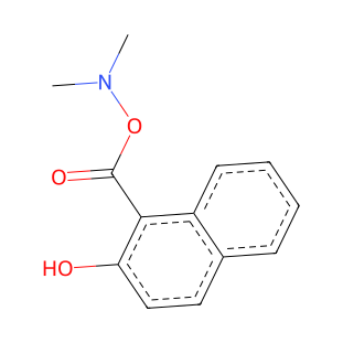 CN(C)OC(=O)c1c(O)ccc2ccccc12